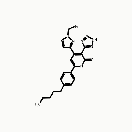 CC(C)Cn1ccc(-c2cc(-c3ccc(CCCCC(F)(F)F)cc3)[nH]c(=O)c2-c2nn[nH]n2)n1